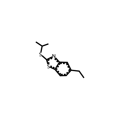 CCc1ccc2sc(SC(C)C)nc2c1